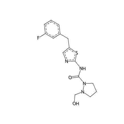 O=C(Nc1ncc(Cc2cccc(F)c2)s1)N1CCCN1CO